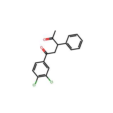 CC(=O)C(CC(=O)c1ccc(Cl)c(Cl)c1)c1ccccc1